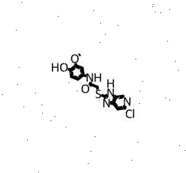 COc1cc(NC(=O)CSc2nc3cc(Cl)ncc3[nH]2)ccc1O